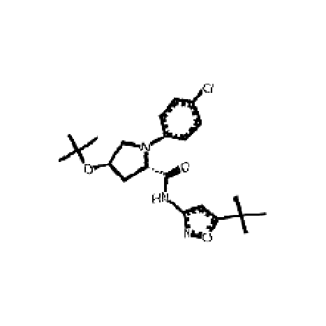 CC(C)(C)O[C@@H]1C[C@@H](C(=O)Nc2cc(C(C)(C)C)on2)N(c2ccc(Cl)cc2)C1